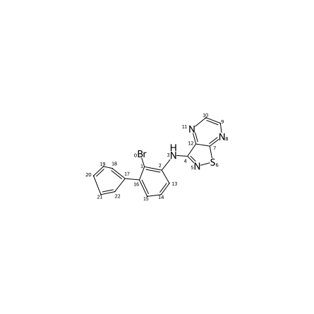 Brc1c(Nc2nsc3nccnc23)cccc1-c1ccccc1